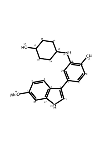 COc1ccc2c(-c3ccc(C#N)c(NC4CCC(O)CC4)c3)c[nH]c2c1